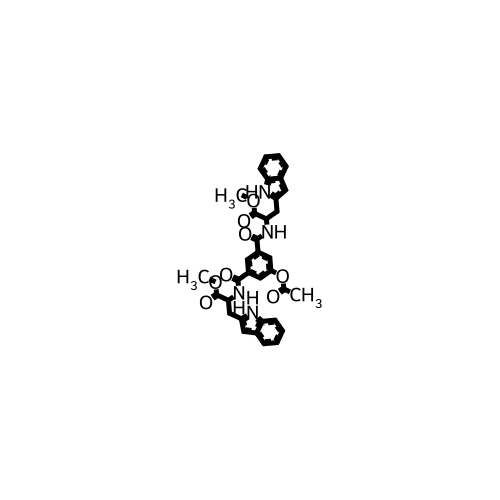 COC(=O)C(Cc1cc2ccccc2[nH]1)NC(=O)c1cc(OC(C)=O)cc(C(=O)NC(Cc2cc3ccccc3[nH]2)C(=O)OC)c1